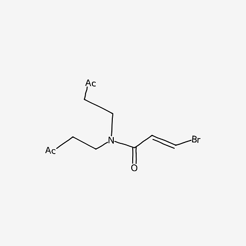 CC(=O)CCN(CCC(C)=O)C(=O)/C=C/Br